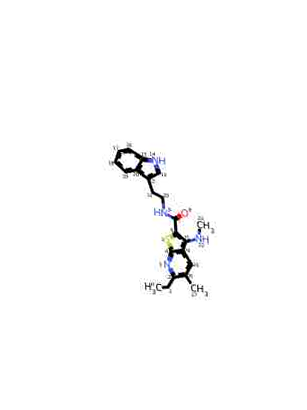 CCc1nc2sc(C(=O)NCCc3c[nH]c4ccccc34)c(NC)c2cc1C